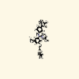 COC(=O)/N=C(SC)/C(=N\c1ccc(-c2noc(C)n2)cc1)c1cc(OC)cc(OCCO[Si](C)(C)C(C)(C)C)c1F